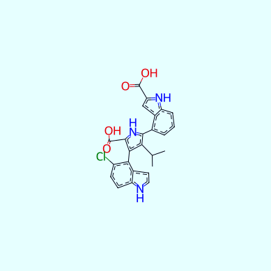 CC(C)c1c(-c2cccc3[nH]c(C(=O)O)cc23)[nH]c(C(=O)O)c1-c1c(Cl)ccc2[nH]ccc12